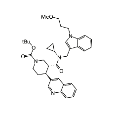 COCCCn1cc(CN(C(=O)[C@H]2CN(C(=O)OC(C)(C)C)CC[C@@H]2c2cnc3ccccc3c2)C2CC2)c2ccccc21